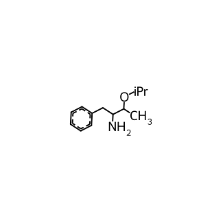 CC(C)OC(C)C(N)Cc1ccccc1